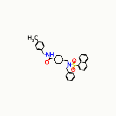 Cc1ccc(CNC(=O)C2CCC(CN(Cc3ccccc3)S(=O)(=O)c3cccc4ccccc34)CC2)cc1